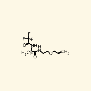 C=CCOCCNC(=O)[C@H](C)NC(=O)C(F)(F)F